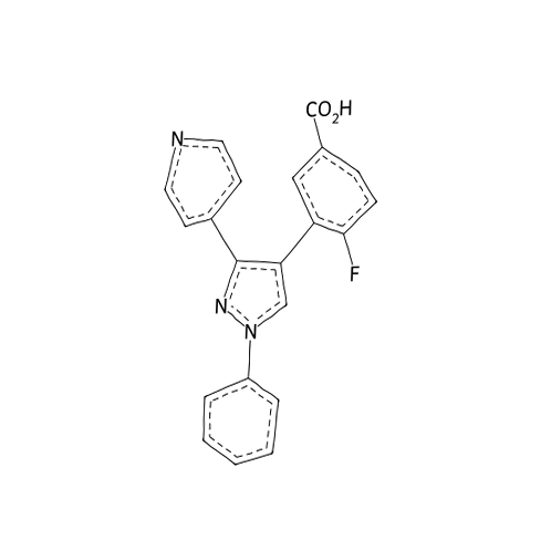 O=C(O)c1ccc(F)c(-c2cn(-c3ccccc3)nc2-c2ccncc2)c1